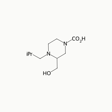 CC(C)CN1CCN(C(=O)O)CC1CO